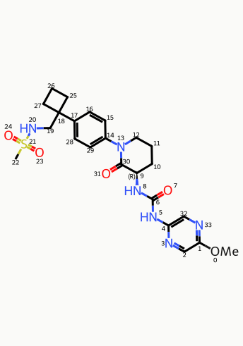 COc1cnc(NC(=O)N[C@@H]2CCCN(c3ccc(C4(CNS(C)(=O)=O)CCC4)cc3)C2=O)cn1